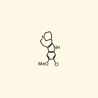 COc1cc2c3c([nH]c2cc1Cl)C1CCCN(CC3)C1